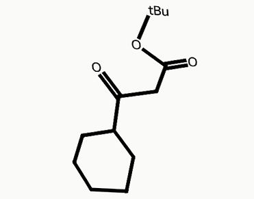 CC(C)(C)OC(=O)CC(=O)C1CCCCC1